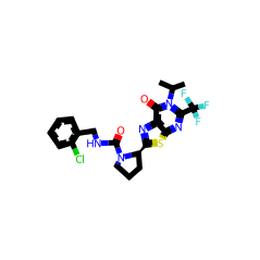 CC(C)n1c(C(F)(F)F)nc2sc([C@H]3CCCN3C(=O)NCc3ccccc3Cl)nc2c1=O